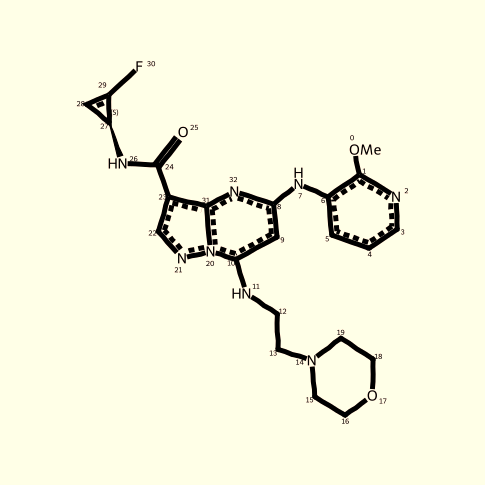 COc1ncccc1Nc1cc(NCCN2CCOCC2)n2ncc(C(=O)N[C@H]3C=C3F)c2n1